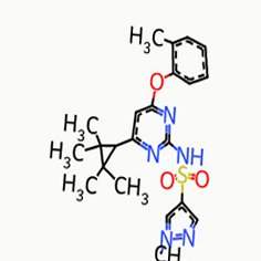 Cc1ccccc1Oc1cc(C2C(C)(C)C2(C)C)nc(NS(=O)(=O)c2cnn(C)c2)n1